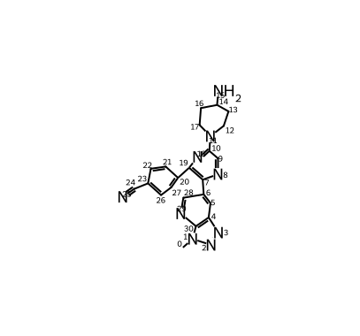 Cn1nnc2cc(-c3ncc(N4CCC(N)CC4)nc3-c3ccc(C#N)cc3)cnc21